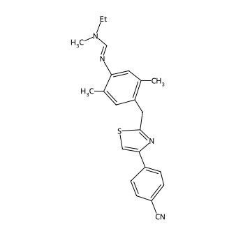 CCN(C)/C=N/c1cc(C)c(Cc2nc(-c3ccc(C#N)cc3)cs2)cc1C